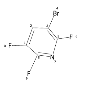 Fc1cc(Br)c(F)nc1F